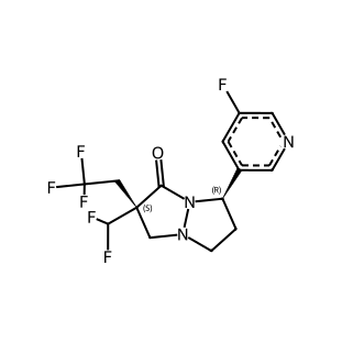 O=C1N2[C@@H](c3cncc(F)c3)CCN2C[C@]1(CC(F)(F)F)C(F)F